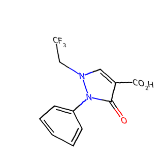 O=C(O)c1cn(CC(F)(F)F)n(-c2ccccc2)c1=O